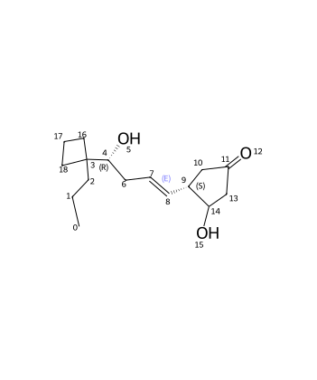 CCCC1([C@H](O)C/C=C/[C@@H]2CC(=O)CC2O)CCC1